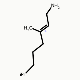 C/C(=C\CN)CCCC(C)C